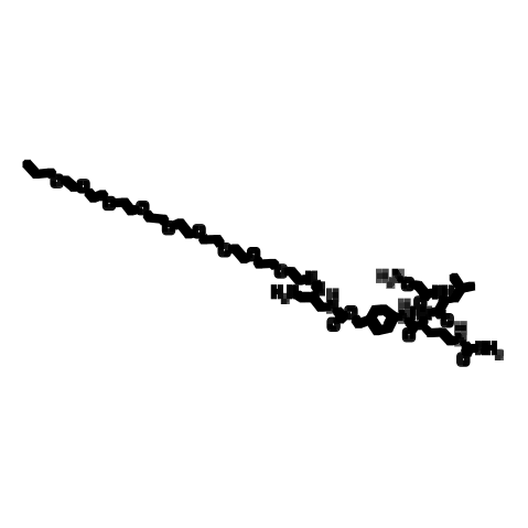 CCCOCCOCCOCCOCCOCCOCCOCCOCCOCC/N=N\C(=C/N)CNC(=O)OCc1ccc(NC(=O)[C@H](CCCNC(N)=O)NC(=O)[C@H](CC(C)C)NC(=O)CON)cc1